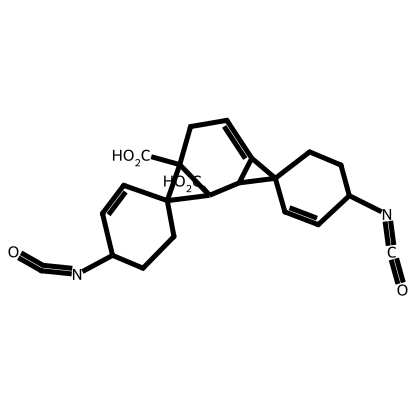 O=C=NC1C=CC2(CC1)C1=CCC3(C(=O)O)C4(C=CC(N=C=O)CC4)C3(C(=O)O)C12